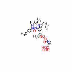 CCC(CC(=O)OCOC(=O)N1CCC[C@H]1COP(=O)(O)O)c1ccc(N(CC(C)C)CC(C)C)c(NC(=O)Nc2ccc(C)cc2)c1